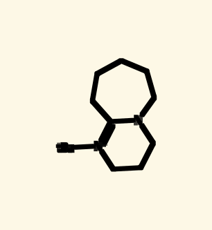 CC(C)(C)[N+]1=C2CCCCCN2CCC1